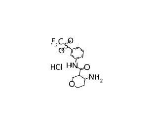 Cl.NC1CCOCC1C(=O)Nc1cccc(S(=O)(=O)C(F)(F)F)c1